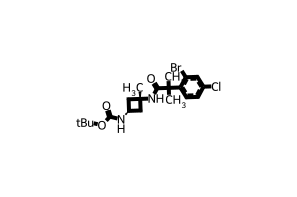 CC(C)(C)OC(=O)N[C@H]1C[C@@](C)(NC(=O)C(C)(C)c2ccc(Cl)cc2Br)C1